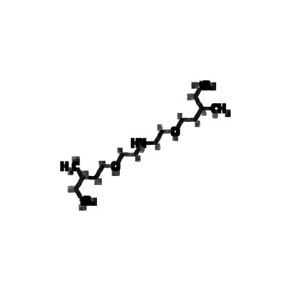 CC(CCOCCNCCOCCC(C)CC(C)(C)C)CC(C)(C)C